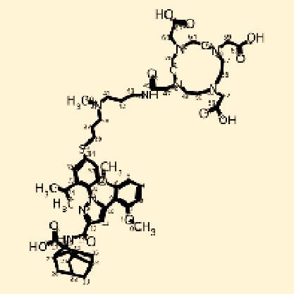 COc1cccc(OC)c1-c1cc(C(=O)NC2(C(=O)O)C3CC4CC(C3)CC2C4)nn1-c1ccc(SCCCN(C)CCCNC(=O)CN2CCN(CC(=O)O)CCN(CC(=O)O)CCN(CC(=O)O)CC2)cc1C(C)C